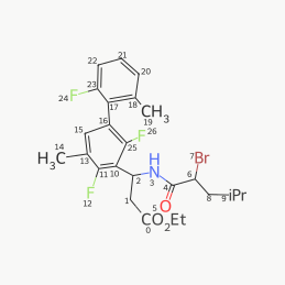 CCOC(=O)CC(NC(=O)C(Br)CC(C)C)c1c(F)c(C)cc(-c2c(C)cccc2F)c1F